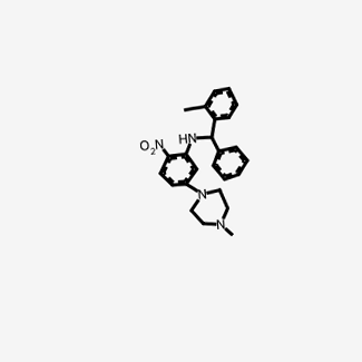 Cc1ccccc1C(Nc1cc(N2CCN(C)CC2)ccc1[N+](=O)[O-])c1ccccc1